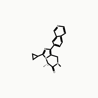 C[C@H]1C(=O)N(C)Cc2c(-c3ccc4ccncc4c3)nc(C3CC3)n21